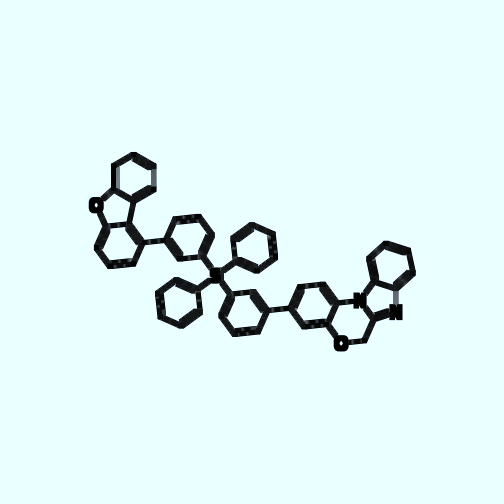 c1ccc([Si](c2ccccc2)(c2cccc(-c3ccc4c(c3)OCc3nc5ccccc5n3-4)c2)c2cccc(-c3cccc4oc5ccccc5c34)c2)cc1